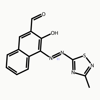 Cc1nsc(/N=N/c2c(O)c(C=O)cc3ccccc23)n1